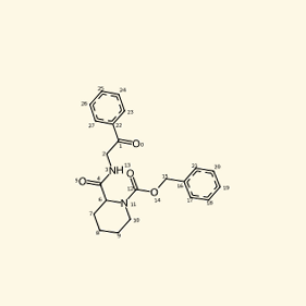 O=C(CNC(=O)C1CCCCN1C(=O)OCc1ccccc1)c1ccccc1